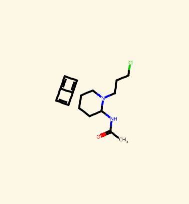 CC(=O)NC1CCCCN1CCCCl.c1cc2ccc1-2